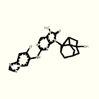 Cn1c(=O)n(C2C3CC4CC5(O)CC2C5(C4)C3)c2nc(Nc3cn4ncnc4cc3Cl)ncc21